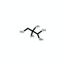 CCCC(CO)(CCC)C(O)C(C)(C)C